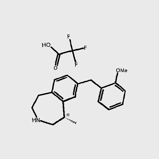 COc1ccccc1Cc1ccc2c(c1)[C@H](C)CNCC2.O=C(O)C(F)(F)F